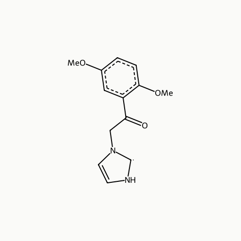 COc1ccc(OC)c(C(=O)CN2[CH]NC=C2)c1